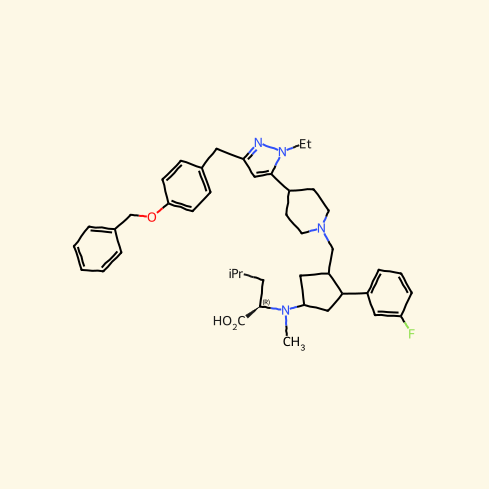 CCn1nc(Cc2ccc(OCc3ccccc3)cc2)cc1C1CCN(CC2CC(N(C)[C@H](CC(C)C)C(=O)O)CC2c2cccc(F)c2)CC1